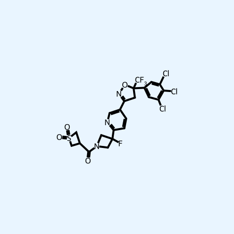 O=C(C1CS(=O)(=O)C1)N1CC(F)(c2ccc(C3=NOC(c4cc(Cl)c(Cl)c(Cl)c4)(C(F)(F)F)C3)cn2)C1